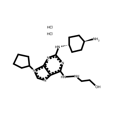 Cl.Cl.N[C@H]1CC[C@H](Nc2nc(NNCCO)c3ncn(C4CCCC4)c3n2)CC1